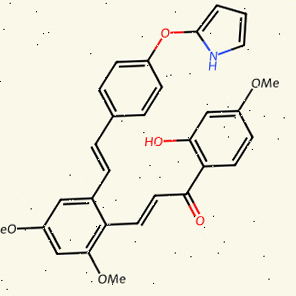 COc1ccc(C(=O)/C=C/c2c(/C=C/c3ccc(Oc4ccc[nH]4)cc3)cc(OC)cc2OC)c(O)c1